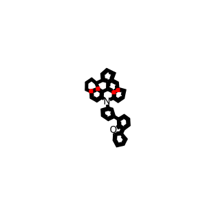 c1ccc(N(c2cccc(-c3cccc4c3oc3ccccc34)c2)c2ccccc2-c2cccc3cccc(C4CCCCC4)c23)cc1